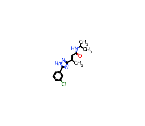 CC(=CC(=O)NC(C)C)c1n[nH]c(-c2cccc(Cl)c2)n1